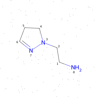 NCCN1CCC=N1